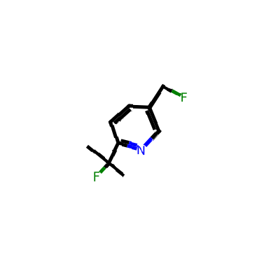 CC(C)(F)c1ccc(CF)cn1